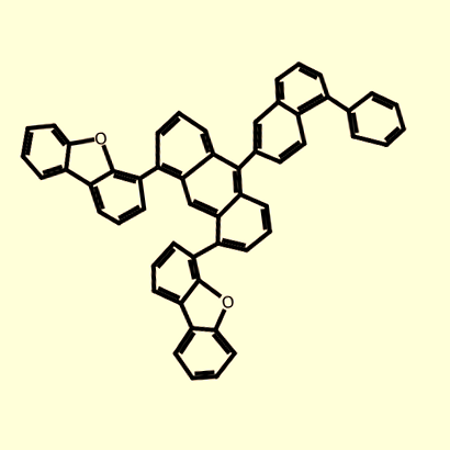 c1ccc(-c2cccc3cc(-c4c5cccc(-c6cccc7c6oc6ccccc67)c5cc5c(-c6cccc7c6oc6ccccc67)cccc45)ccc23)cc1